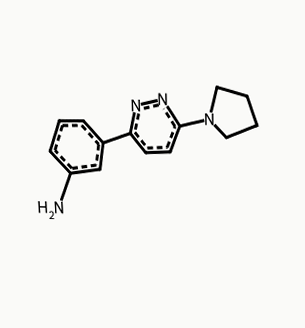 Nc1cccc(-c2ccc(N3CCCC3)nn2)c1